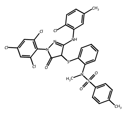 Cc1ccc(S(=O)(=O)N(C)c2ccccc2SC2C(=O)N(c3c(Cl)cc(Cl)cc3Cl)N=C2Nc2cc(C)ccc2Cl)cc1